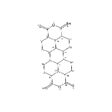 B=C1OC(=O)C2CCC3C4CCC5C(=O)OC(=O)C6CCC(C7CCC1C2C73)C4C65